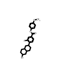 CCC1CCC2CC(c3ccc(C(=O)Oc4ccc(OC(F)(F)F)cc4)cc3F)CCC2C1